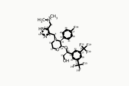 CN(C)Cc1[nH]nnc1CN1CCO[C@H](O[C@H](CO)c2cc(C(F)(F)F)cc(C(F)(F)F)c2)[C@@H]1c1ccc(F)cc1